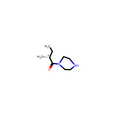 CC[C@@H](C)C(=O)N1CCNCC1